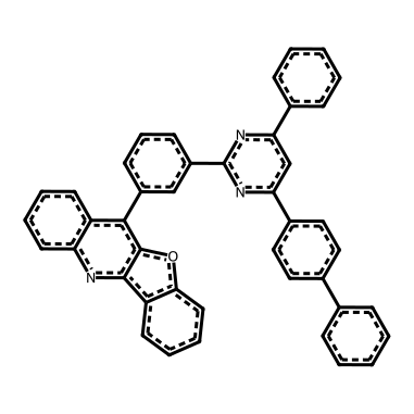 c1ccc(-c2ccc(-c3cc(-c4ccccc4)nc(-c4cccc(-c5c6ccccc6nc6c5oc5ccccc56)c4)n3)cc2)cc1